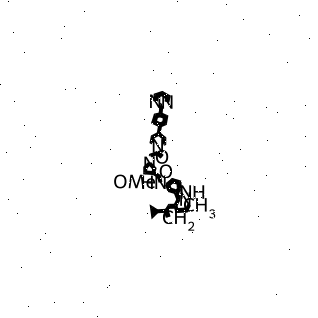 C=C(/C=C(\C=C/C)c1n[nH]c2ccc(NC(=O)[C@]3(OC)CCN(CC(=O)N4CCC(c5ccc(-c6ncccn6)cc5)CC4)C3)cc12)C1CC1